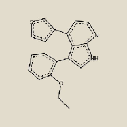 CCOc1ccccc1-c1c[nH]c2nccc(-c3ccsc3)c12